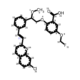 COC(COc1ccc(OCF)cc1C(=O)O)c1cccc(/C=C/c2ccc3ccc(Cl)cc3n2)c1